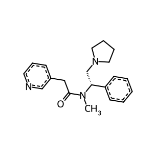 CN(C(=O)Cc1cccnc1)[C@H](CN1CCCC1)c1ccccc1